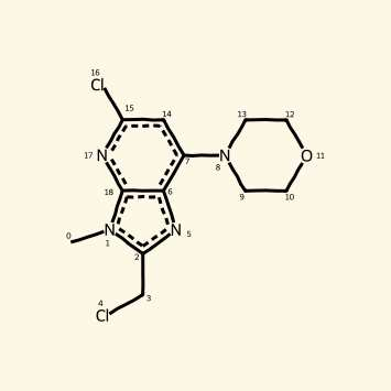 Cn1c(CCl)nc2c(N3CCOCC3)cc(Cl)nc21